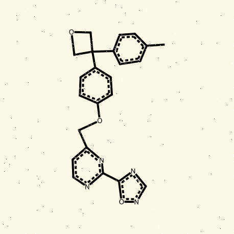 Cc1ccc(C2(c3ccc(OCc4ccnc(-c5ncno5)n4)cc3)COC2)cc1